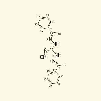 C/C(=N\NC(=NCl)N/N=C(\C)c1ccccc1)c1ccccc1